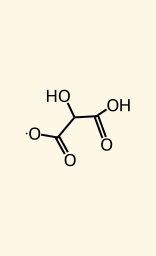 [O]C(=O)C(O)C(=O)O